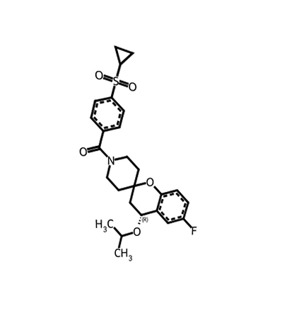 CC(C)O[C@@H]1CC2(CCN(C(=O)c3ccc(S(=O)(=O)C4CC4)cc3)CC2)Oc2ccc(F)cc21